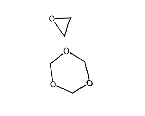 C1CO1.C1OCOCO1